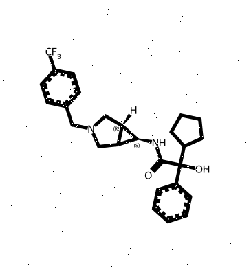 O=C(N[C@H]1C2CN(Cc3ccc(C(F)(F)F)cc3)C[C@@H]21)C(O)(c1ccccc1)C1CCCC1